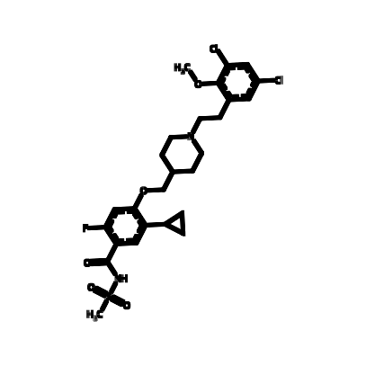 COc1c(Cl)cc(Cl)cc1CCN1CCC(COc2cc(F)c(C(=O)NS(C)(=O)=O)cc2C2CC2)CC1